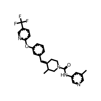 Cc1cncc(NC(=O)N2CCC(=Cc3cccc(Oc4ccc(C(F)(F)F)cn4)c3)C(C)C2)c1